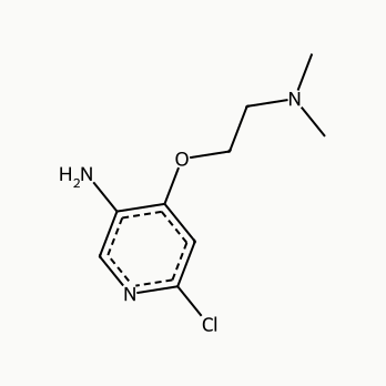 CN(C)CCOc1cc(Cl)ncc1N